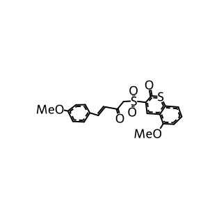 COc1ccc(/C=C/C(=O)CS(=O)(=O)c2cc3c(OC)cccc3sc2=O)cc1